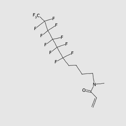 C=CC(=O)N(C)CCCCC(F)(F)C(F)(F)C(F)(F)C(F)(F)C(F)(F)C(F)(F)F